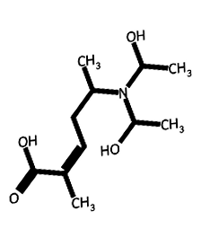 CC(=CCC(C)N(C(C)O)C(C)O)C(=O)O